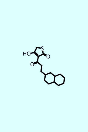 O=C(CCC1CCC2CCCCC2C1)C1=C(O)CSC1=O